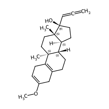 C=C=C[C@]1(O)CC[C@H]2[C@@H]3CCC4=C(CC=C(OC)C4)[C@@]3(C)CC[C@@]21C